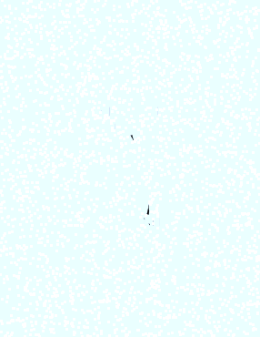 Cl.N[C@@H]1CCCC[C@@](O)(CC(=O)Cl)C1